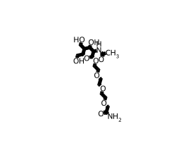 CC(=O)NC1C(OCCOCCOCCOCC(N)=O)OC(CO)C(CO)C1O